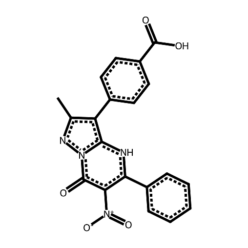 Cc1nn2c(=O)c([N+](=O)[O-])c(-c3ccccc3)[nH]c2c1-c1ccc(C(=O)O)cc1